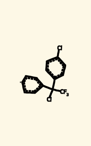 FC(F)(F)C(Cl)(c1cc[c]cc1)c1ccc(Cl)cc1